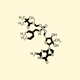 C/C=C\C(=C/C)CNP(=O)(OCOC(=O)C(C)(C)C)OC[C@H]1O[C@@H](n2cnc3c(=O)[nH]c(N)nc32)[C@](C)(O)[C@@H]1O